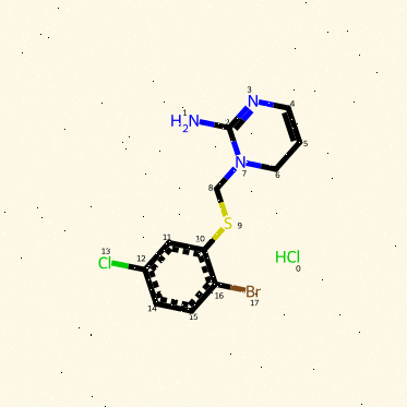 Cl.NC1=NC=CCN1CSc1cc(Cl)ccc1Br